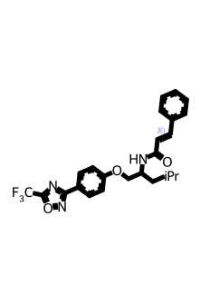 CC(C)CC(COc1ccc(-c2noc(C(F)(F)F)n2)cc1)NC(=O)/C=C/c1ccccc1